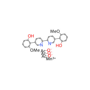 CC(=O)[O-].CC(=O)[O-].CC(=O)[O-].COc1cccc(O)c1-c1ccc(-c2ccc(-c3c(O)cccc3OC)cn2)nc1.[Mn+3]